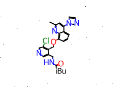 CCC(C)C(=O)NCc1cncc(Cl)c1COc1cccc2c(-n3ccnc3)cc(C)nc12